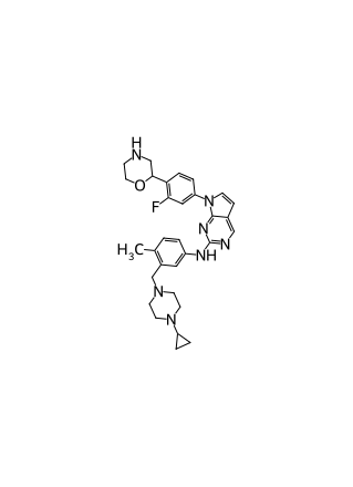 Cc1ccc(Nc2ncc3ccn(-c4ccc(C5CNCCO5)c(F)c4)c3n2)cc1CN1CCN(C2CC2)CC1